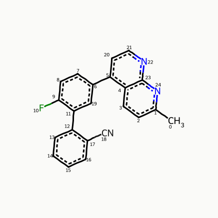 Cc1ccc2c(-c3ccc(F)c(-c4ccccc4C#N)c3)ccnc2n1